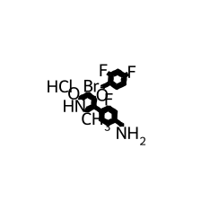 Cc1[nH]c(=O)c(Br)c(OCc2ccc(F)cc2F)c1-c1ccc(CN)cc1F.Cl